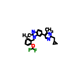 Cc1nc(CC2CC2)ncc1-c1ccc2nc(C)n(Cc3ccccc3OC(F)F)c2c1